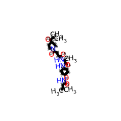 CC(C)CC(=O)NOc1ccc(NC(=O)[C@H](C)NC(=O)CCC(=O)N2CCC(C(=O)C(C)C)CC2)cc1